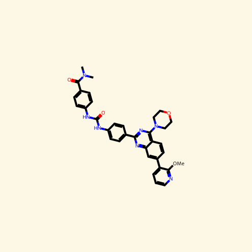 COc1ncccc1-c1ccc2c(N3CCOCC3)nc(-c3ccc(NC(=O)Nc4ccc(C(=O)N(C)C)cc4)cc3)nc2c1